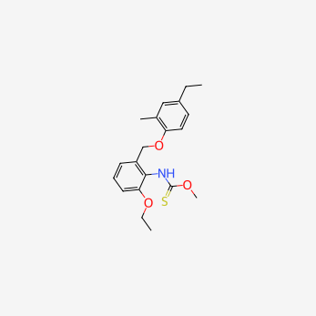 CCOc1cccc(COc2ccc(CC)cc2C)c1NC(=S)OC